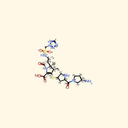 C[C@@H](NS(=O)(=O)Cn1ncnn1)[C@H]1C(=O)N2C(C(=O)O)=C(SC3CNC(C(=O)N4CC[C@@H](N)C4)C3)[C@H](C)[C@H]12